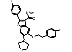 CNC(=O)c1c(-c2ccc(F)cc2)oc2cc(N3CCOCC3)c(OCCc3ccc(F)cc3)cc12